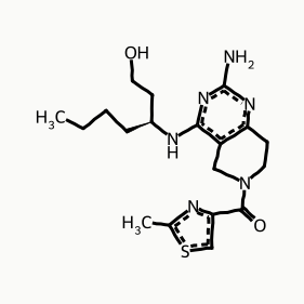 CCCC[C@@H](CCO)Nc1nc(N)nc2c1CN(C(=O)c1csc(C)n1)CC2